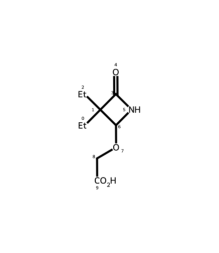 CCC1(CC)C(=O)NC1OCC(=O)O